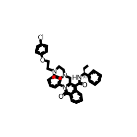 CC[C@H](NC(=O)c1c(CN2CCN(CCOc3ccc(Cl)cc3)CC2)n(-c2ccccc2)c(=O)c2ccccc12)c1ccccc1